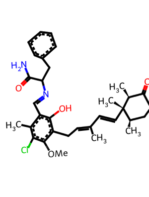 COc1c(Cl)c(C)c(C=NC(Cc2ccccc2)C(N)=O)c(O)c1C/C=C(C)/C=C/[C@@]1(C)[C@H](C)CCC(=O)[C@@H]1C